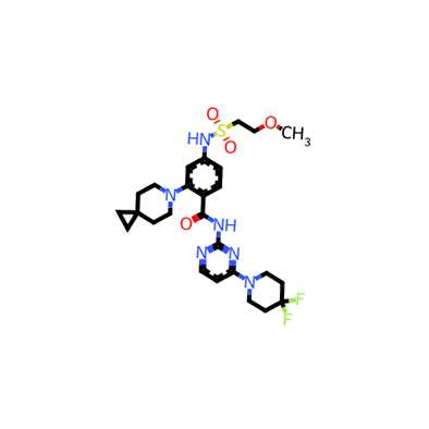 COCCS(=O)(=O)Nc1ccc(C(=O)Nc2nccc(N3CCC(F)(F)CC3)n2)c(N2CCC3(CC2)CC3)c1